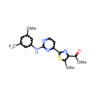 COC(=O)c1nc(-c2ccnc(Nc3cc(OC)cc(C(F)(F)F)c3)n2)sc1SC